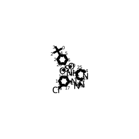 CC(C)(C)c1ccc(S(=O)(=O)Nc2ccc(Cl)cc2-n2nnc3ncccc32)cc1